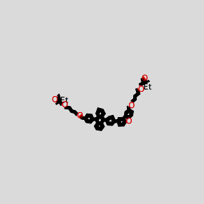 CCC1(COCCCCCOCc2ccc(-c3c4ccccc4c(-c4ccc(-c5ccc6oc7ccc(COCCCCCOCC8(CC)COC8)cc7c6c5)cc4)c4ccccc34)cc2)COC1